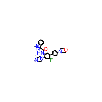 C[C@@H]1CN(c2cc(F)c(-c3ccc(N4CCOCC4)cc3)cc2NC(=O)c2nn(C)c3ccccc23)CCN1C